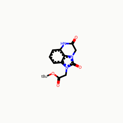 CC(C)(C)OC(=O)Cn1c(=O)n2c3c(cccc31)NC(=O)C2